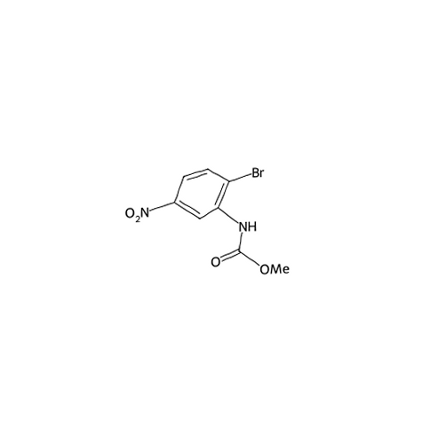 COC(=O)Nc1cc([N+](=O)[O-])ccc1Br